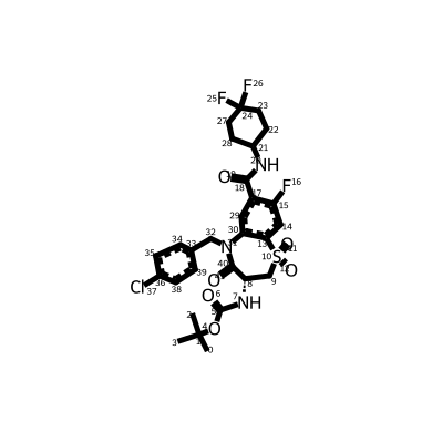 CC(C)(C)OC(=O)N[C@H]1CS(=O)(=O)c2cc(F)c(C(=O)NC3CCC(F)(F)CC3)cc2N(Cc2ccc(Cl)cc2)C1=O